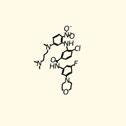 CN(C)CCCN(C)c1ccc([N+](=O)[O-])c(Nc2cc(C(=O)Nc3cc(F)cc(N4CCOCC4)c3)ccc2Cl)c1